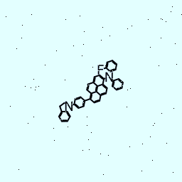 Fc1ccccc1N(c1ccccc1)c1ccc2ccc3c(-c4ccc(N5CCc6ccccc65)cc4)ccc4ccc1c2c43